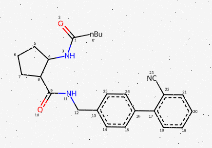 CCCCC(=O)NC1CCCC1C(=O)NCc1ccc(-c2ccccc2C#N)cc1